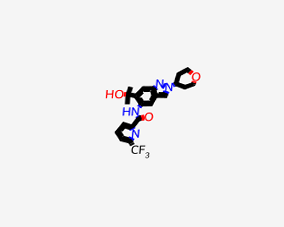 CC(C)(O)c1cc2nn(C3CCOCC3)cc2cc1NC(=O)c1cccc(C(F)(F)F)n1